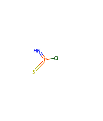 N=P(=S)Cl